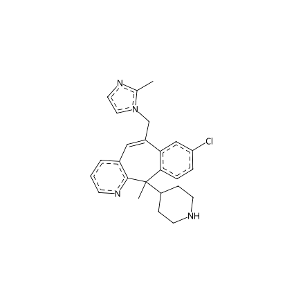 Cc1nccn1CC1=Cc2cccnc2C(C)(C2CCNCC2)c2ccc(Cl)cc21